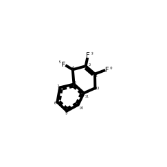 FC1=C(F)C(F)c2ccccc2[CH]1